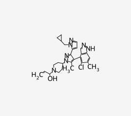 C=CC(O)N1CCC(n2nc(-c3ccnn3CC3CC3)c(-c3c(Cl)c(C)cc4[nH]ncc34)c2C)CC1